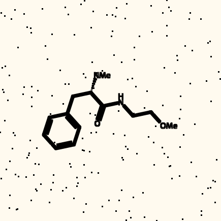 CN[C@@H](Cc1ccccc1)C(=O)NCCOC